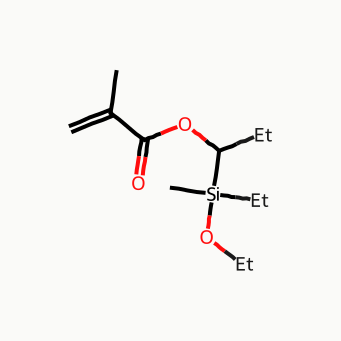 C=C(C)C(=O)OC(CC)[Si](C)(CC)OCC